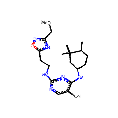 COCc1noc(CCNc2ncc(C#N)c(N[C@@H]3CC[C@H](C)C(C)(C)C3)n2)n1